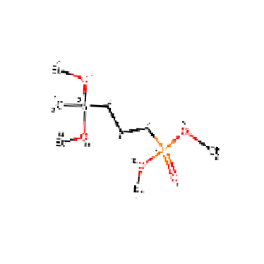 CCO[Si](C)(CCCP(=O)(OCC)OCC)OCC